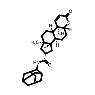 C[C@]12CC[C@H]3[C@@H](CC[C@H]4SC(=O)C=C[C@@]43C)[C@@H]1C[C@H](C(=O)NC1C3CC4CC(C3)CC1C4)C2